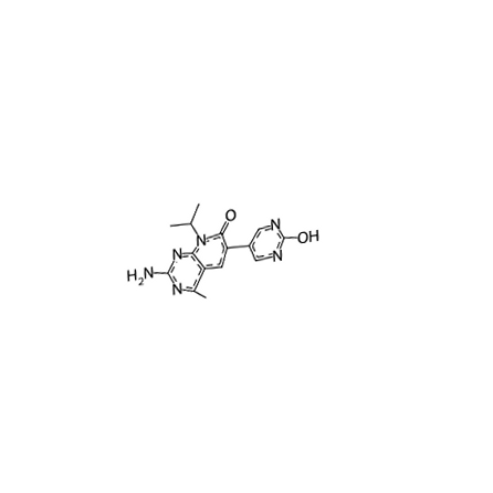 Cc1nc(N)nc2c1cc(-c1cnc(O)nc1)c(=O)n2C(C)C